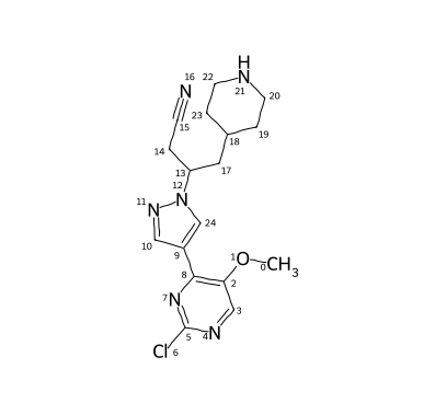 COc1cnc(Cl)nc1-c1cnn(C(CC#N)CC2CCNCC2)c1